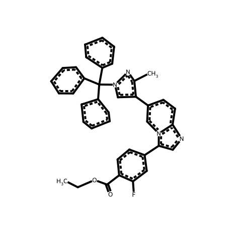 CCOC(=O)c1ccc(-c2cnc3ccc(-c4cn(C(c5ccccc5)(c5ccccc5)c5ccccc5)nc4C)cn23)cc1F